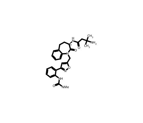 CNC(=O)Nc1ccccc1-c1cc(CN2C(=O)[C@H](NC(=O)CC(C)(C)N)CCc3ccccc32)on1